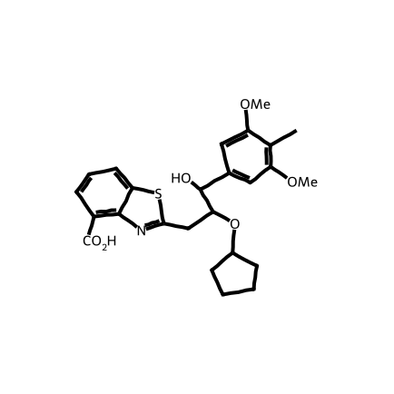 COc1cc(C(O)C(Cc2nc3c(C(=O)O)cccc3s2)OC2CCCC2)cc(OC)c1C